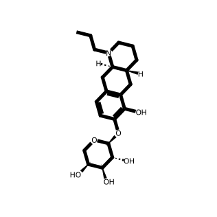 CCCN1CCC[C@@H]2Cc3c(ccc(O[C@@H]4OC[C@H](O)[C@H](O)[C@H]4O)c3O)C[C@H]21